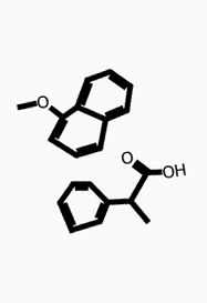 CC(C(=O)O)c1ccccc1.COc1cccc2ccccc12